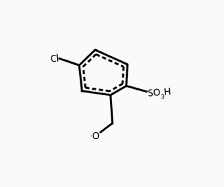 [O]Cc1cc(Cl)ccc1S(=O)(=O)O